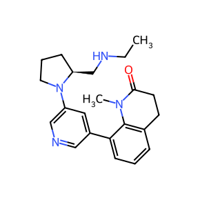 CCNC[C@@H]1CCCN1c1cncc(-c2cccc3c2N(C)C(=O)CC3)c1